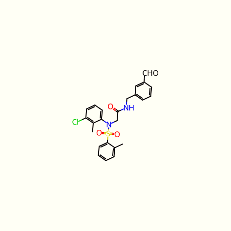 Cc1ccccc1S(=O)(=O)N(CC(=O)NCc1cccc(C=O)c1)c1cccc(Cl)c1C